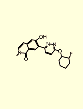 Cn1ccc2cc(O)c(-c3ccc(O[C@@H]4CCCCC4F)nn3)cc2c1=O